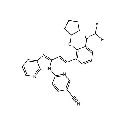 N#Cc1ccc(-n2c(C=Cc3cccc(OC(F)F)c3OC3CCCC3)nc3cccnc32)nc1